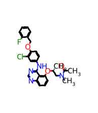 CC(=O)N(C)C[C@@H](C)Oc1cccc2ncnc(Nc3ccc(OCc4ccccc4F)c(Cl)c3)c12